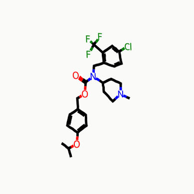 CC(C)Oc1ccc(COC(=O)N(Cc2ccc(Cl)cc2C(F)(F)F)C2CCN(C)CC2)cc1